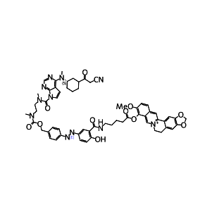 COc1ccc2cc3[n+](cc2c1OC(=O)CCCCNC(=O)c1cc(/N=N/c2ccc(COC(=O)N(C)CCN(C)C(=O)n4ccc5c(N(C)[C@H]6CCCC(C(=O)CC#N)C6)ncnc54)cc2)ccc1O)CCc1cc2c(cc1-3)OCO2